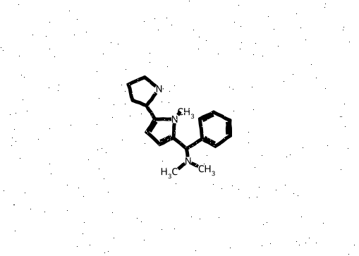 CN(C)C(c1ccccc1)c1ccc(C2CCC[N]2)n1C